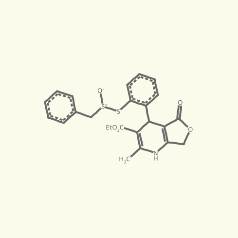 CCOC(=O)C1=C(C)NC2=C(C(=O)OC2)C1c1ccccc1S[S+]([O-])Cc1ccccc1